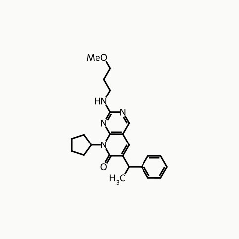 COCCCNc1ncc2cc(C(C)c3ccccc3)c(=O)n(C3CCCC3)c2n1